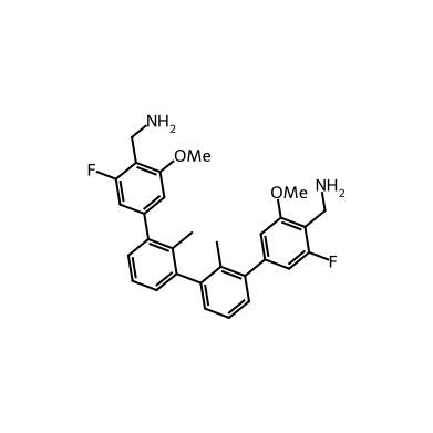 COc1cc(-c2cccc(-c3cccc(-c4cc(F)c(CN)c(OC)c4)c3C)c2C)cc(F)c1CN